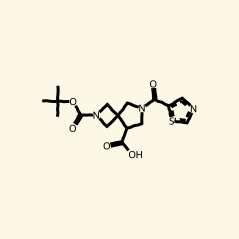 CC(C)(C)OC(=O)N1CC2(C1)CN(C(=O)c1cncs1)CC2C(=O)O